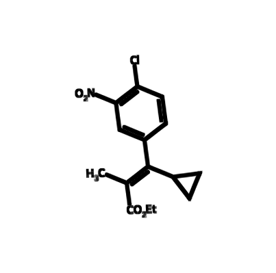 CCOC(=O)C(C)=C(c1ccc(Cl)c([N+](=O)[O-])c1)C1CC1